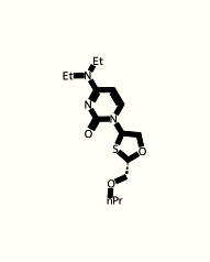 CCCOC[C@H]1OCC(n2ccc(N(CC)CC)nc2=O)S1